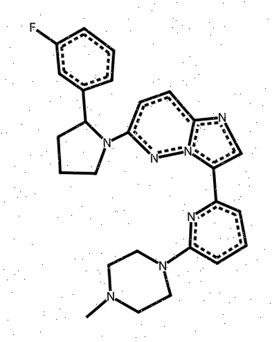 CN1CCN(c2cccc(-c3cnc4ccc(N5CCCC5c5cccc(F)c5)nn34)n2)CC1